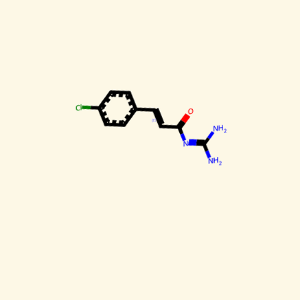 NC(N)=NC(=O)/C=C/c1ccc(Cl)cc1